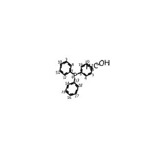 CO.c1ccc(P(c2ccccc2)c2ccccc2)cc1